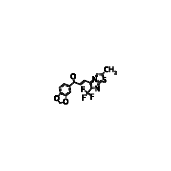 Cc1cn2c(/C=C/C(=O)c3ccc4c(c3)OCO4)c(C(F)(F)F)nc2s1